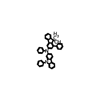 CC1(C)c2ccccc2-c2cc(N(c3ccccc3)c3ccc4c5ccccc5n(-c5ccccc5)c4c3)cc(-c3ccccc3)c21